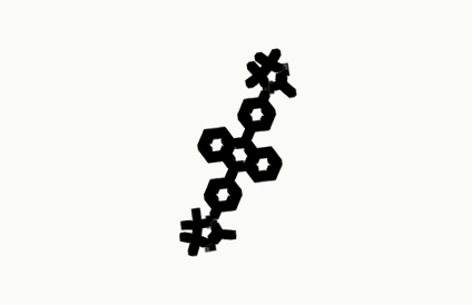 CC1=NC(C)(C)C(C)(C)N1c1ccc(-c2c3ccccc3c(-c3ccc(N4C(C)=NC(C)(C)C4(C)C)cc3)c3ccccc23)cc1